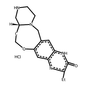 CCc1nc2cc3c(cc2[nH]c1=O)CN1CCNC[C@H]1CCO3.Cl